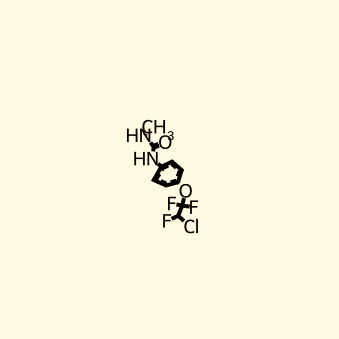 CNC(=O)Nc1ccc(OC(F)(F)C(F)Cl)cc1